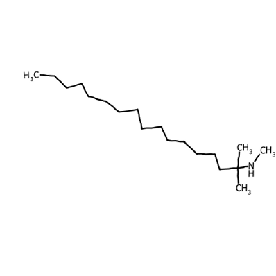 CCCCCCCCCCCCCCCC(C)(C)NC